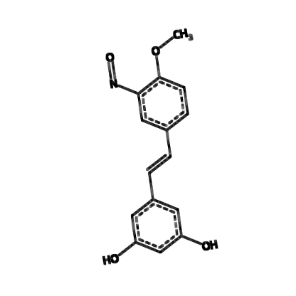 COc1ccc(/C=C/c2cc(O)cc(O)c2)cc1N=O